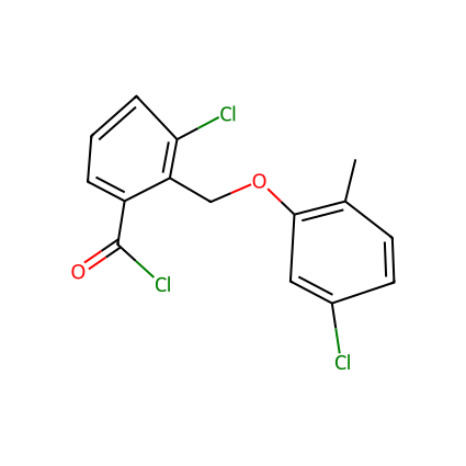 Cc1ccc(Cl)cc1OCc1c(Cl)cccc1C(=O)Cl